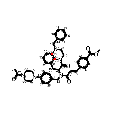 COC(=O)c1ccc(C=CC(=O)N(Cc2ccc(N3CCN(C(C)=O)CC3)cc2)C(Cc2ccccc2)C(=O)N2CCN(Cc3ccccc3)CC2)cc1